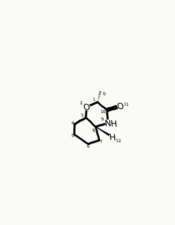 C[C@H]1OC2CCCC[C@H]2NC1=O